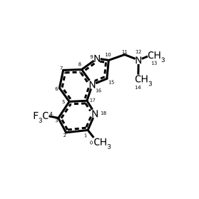 Cc1cc(C(F)(F)F)c2ccc3nc(CN(C)C)cn3c2n1